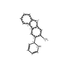 Cc1cc2oc3ccccc3c2cc1C1C=CC=CN1